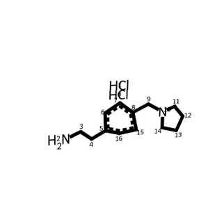 Cl.Cl.NCCc1ccc(CN2CCCC2)cc1